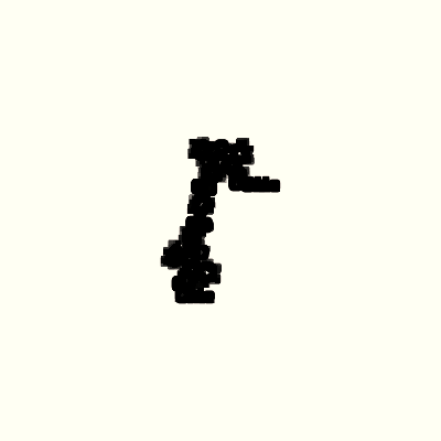 COC(=O)Cc1ccc(C(=O)N(c2ccccc2)c2ccc(OC(=O)[C@H]3CC[C@H](C(=O)Oc4ccc(N(C(=O)c5ccc(CC(=O)OC)c6c5CCCC6)c5ccccc5)cc4)CC3)cc2)c2c1CCCC2